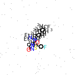 [2H]c1c([2H])c(C(F)(F)F)c([2H])c([2H])c1-c1c([2H])c([2H])c(C([2H])([2H])N(CCN(CC)CC)C(=O)C([2H])([2H])n2c(SCc3ccc(F)cc3)nc(=O)c3c2CCC3)c(C)c1[2H]